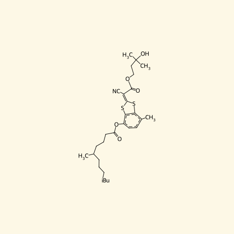 CCC(C)CCCC(C)CCCC(=O)Oc1ccc(C)c2c1S/C(=C(\C#N)C(=O)OCCC(C)(C)O)S2